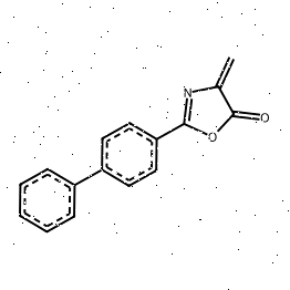 C=C1N=C(c2ccc(-c3ccccc3)cc2)OC1=O